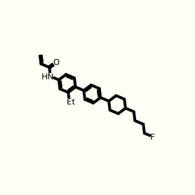 C=CC(=O)Nc1ccc(-c2ccc(C3CCC(CCCCF)CC3)cc2)c(CC)c1